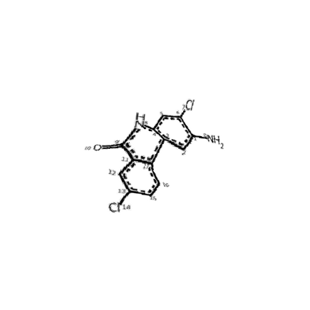 Nc1cc2c(cc1Cl)[nH]c(=O)c1cc(Cl)ccc12